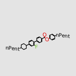 CCCCCc1ccc(OC(=O)c2ccc(-c3ccc(C4CCC(CCCCC)CC4)cc3F)cc2)cc1